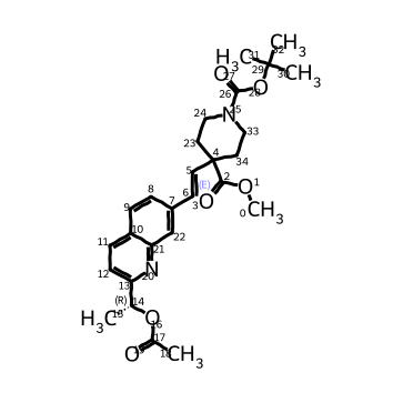 COC(=O)C1(/C=C/c2ccc3ccc([C@@H](C)OC(C)=O)nc3c2)CCN(C(=O)OC(C)(C)C)CC1